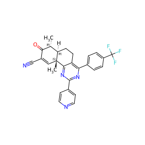 C[C@H]1C(=O)C(C#N)=C[C@@]2(C)c3nc(-c4ccncc4)nc(-c4ccc(C(F)(F)F)cc4)c3CC[C@H]12